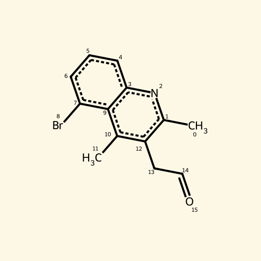 Cc1nc2cccc(Br)c2c(C)c1CC=O